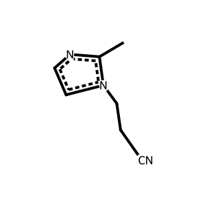 Cc1nccn1CCC#N